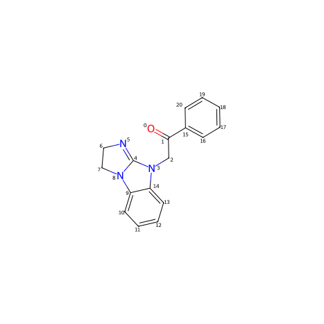 O=C(CN1C2=NCCN2c2ccccc21)c1ccccc1